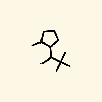 [CH2]C(C1CCCN1C)C(C)(C)C